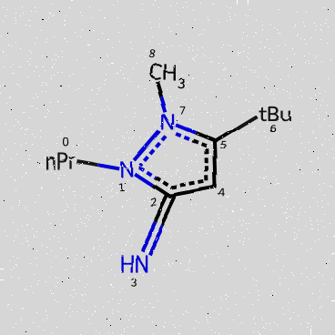 CCCn1c(=N)cc(C(C)(C)C)n1C